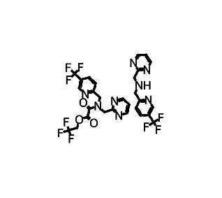 FC(F)(F)c1ccc(CNCc2ncccn2)nc1.O=C(OCC(F)(F)F)C(=O)N(Cc1ccc(C(F)(F)F)cn1)Cc1ncccn1